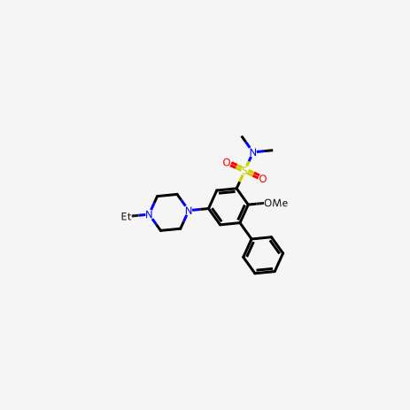 CCN1CCN(c2cc(-c3ccccc3)c(OC)c(S(=O)(=O)N(C)C)c2)CC1